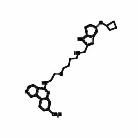 O=C(O)c1ccc2c(c1)nc(NCCOCCCCNCc1cc3cc(OC4CCC4)ccc3[nH]1)c1ccncc12